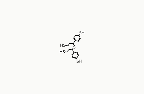 SCCC(SC(CCS)c1ccc(S)cc1)c1ccc(S)cc1